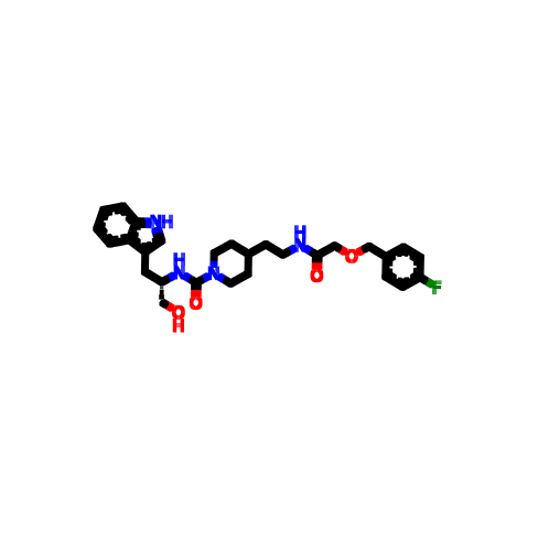 O=C(COCc1ccc(F)cc1)NCCC1CCN(C(=O)N[C@H](CO)Cc2c[nH]c3ccccc23)CC1